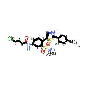 CC(C)(C)NS(=O)(=O)c1cc(NC(=O)CCCCl)ccc1-c1cnc(-c2ccc([N+](=O)[O-])cc2)s1